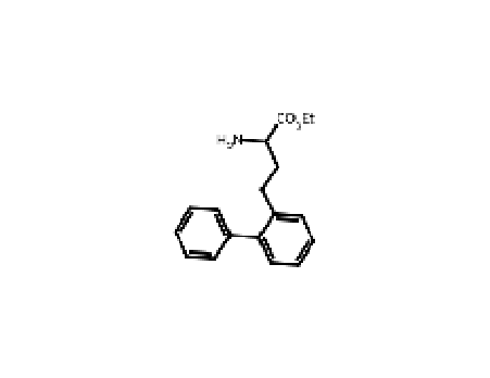 CCOC(=O)C(N)CCc1ccccc1-c1ccccc1